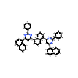 c1ccc(-c2nc(-c3cccc4ccccc34)cc(-c3cccc4c(-c5cc(-c6cccc7ccccc67)nc(-c6ccccc6)n5)cccc34)n2)cc1